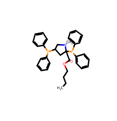 CCCCOC(=O)C1(P(c2ccccc2)c2ccccc2)CC(P(c2ccccc2)c2ccccc2)CN1C